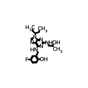 CCC(CC)n1cnc2c(NCc3cc(F)ccc3O)nc(NCC(C)O)nc21